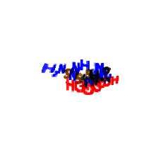 NCCSc1cncc(SC2=C(C(=O)O)N3C(=O)[C@@H](NC(=O)/C(=N\O)c4cccc(N)n4)[C@@H]3SC2)n1